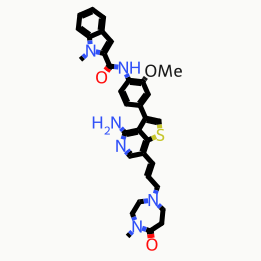 COc1cc(-c2csc3c(C=CCN4CCC(=O)N(C)CC4)cnc(N)c23)ccc1NC(=O)c1cc2ccccc2n1C